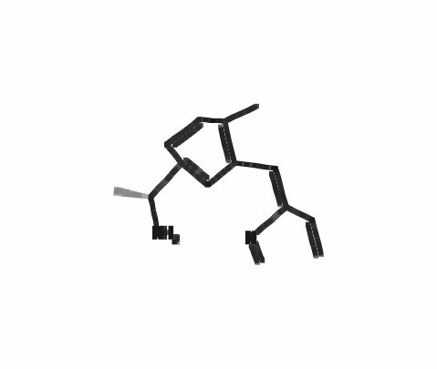 C=C/C(=C/c1cc([C@@H](C)N)ccc1C)N=C